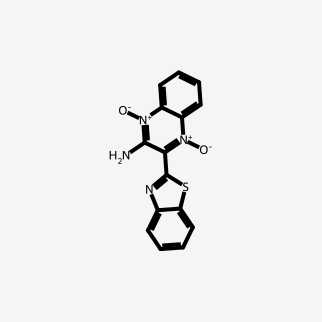 Nc1c(-c2nc3ccccc3s2)[n+]([O-])c2ccccc2[n+]1[O-]